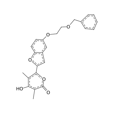 Cc1c(-c2cc3cc(OCCOCc4ccccc4)ccc3o2)oc(=O)c(C)c1O